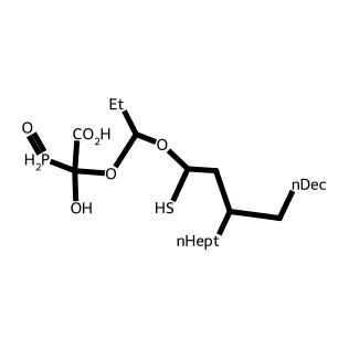 CCCCCCCCCCCC(CCCCCCC)CC(S)OC(CC)OC(O)([PH2]=O)C(=O)O